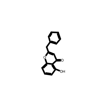 O=c1cc(Cc2ccccc2)oc2cccc(O)c12